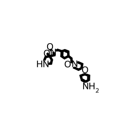 NC1=CCC(OC2CCN(C(=O)CC3C=CC(CN4CC5(CCNCC5)OC4=O)=CC3)CC2)C=C1